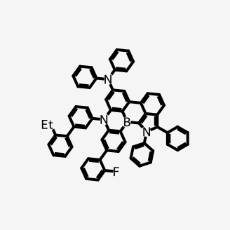 CCc1ccccc1-c1cccc(N2c3cc(-c4ccccc4F)ccc3B3c4c(cc(N(c5ccccc5)c5ccccc5)cc42)-c2cccc4c(-c5ccccc5)n(-c5ccccc5)c3c24)c1